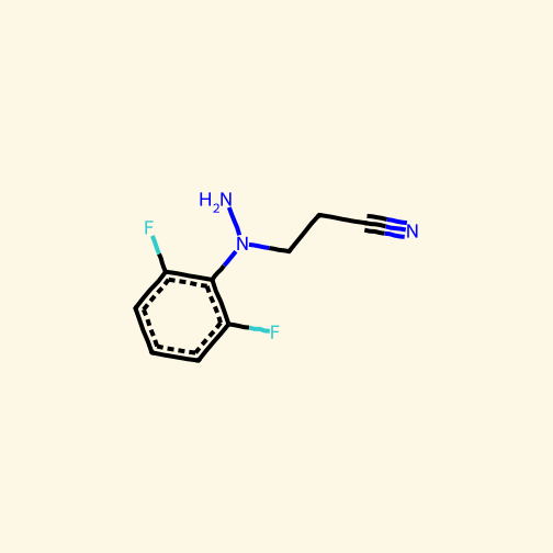 N#CCCN(N)c1c(F)cccc1F